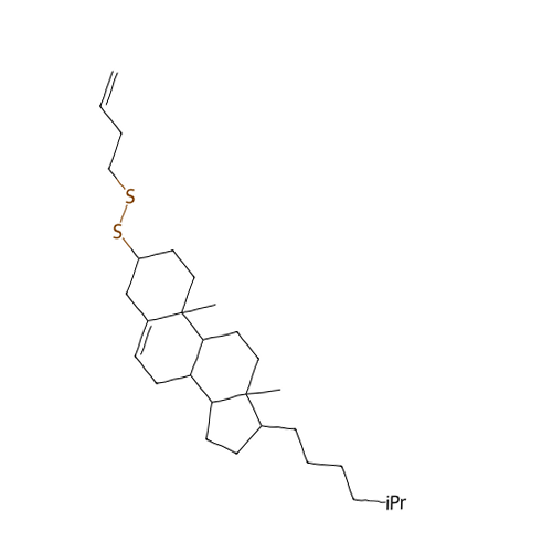 C=CCCSSC1CCC2(C)C(=CCC3C2CCC2(C)C(CCCCC(C)C)CCC32)C1